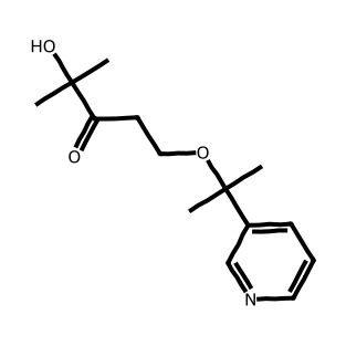 CC(C)(O)C(=O)CCOC(C)(C)c1cccnc1